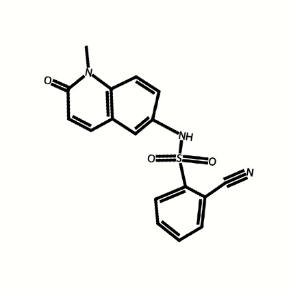 Cn1c(=O)ccc2cc(NS(=O)(=O)c3ccccc3C#N)ccc21